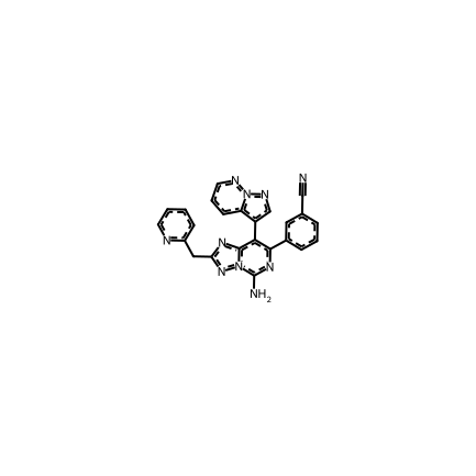 N#Cc1cccc(-c2nc(N)n3nc(Cc4ccccn4)nc3c2-c2cnn3ncccc23)c1